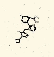 CC(O)c1cc(F)ccc1-c1ncnn1Cc1cnn(C2CCC2)c1Br